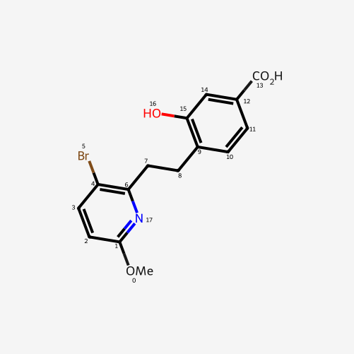 COc1ccc(Br)c(CCc2ccc(C(=O)O)cc2O)n1